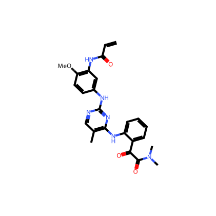 C=CC(=O)Nc1cc(Nc2ncc(C)c(Nc3ccccc3C(=O)C(=O)N(C)C)n2)ccc1OC